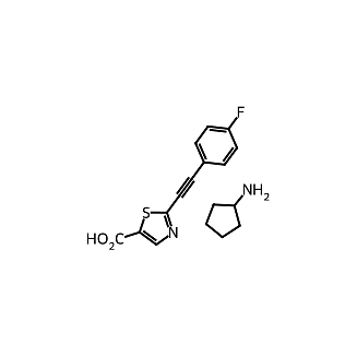 NC1CCCC1.O=C(O)c1cnc(C#Cc2ccc(F)cc2)s1